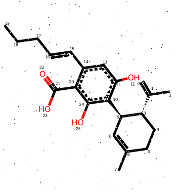 C=C(C)[C@@H]1CCC(C)=C[C@H]1c1c(O)cc(/C=C/CCC)c(C(=O)O)c1O